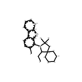 CCC1N(c2c(C)ccc3c2oc2ncccc23)C(C)(C)CC12CCCCC2